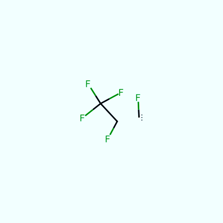 FCC(F)(F)F.[C]F